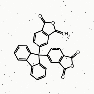 C=C1OC(=O)c2ccc(C3(c4ccc5c(c4)C(=O)OC5=O)c4ccccc4-c4ccccc43)cc21